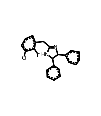 Fc1c(Cl)cccc1CC1=NC(c2ccccc2)C(c2ccccc2)N1